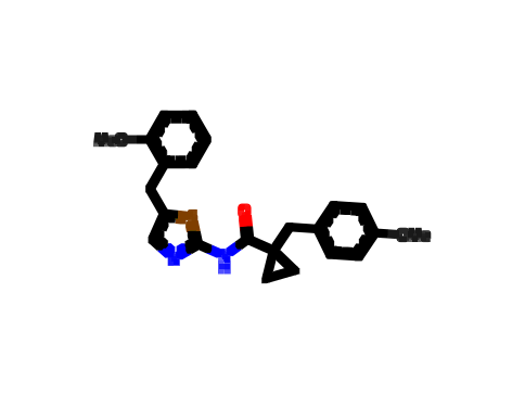 COc1ccc(CC2(C(=O)Nc3ncc(Cc4ccccc4OC)s3)CC2)cc1